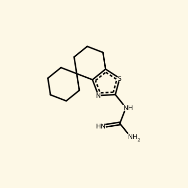 N=C(N)Nc1nc2c(s1)CCCC21CCCCC1